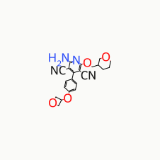 N#Cc1c(N)nc(OCC2CCCOC2)c(C#N)c1-c1ccc(OC2COC2)cc1